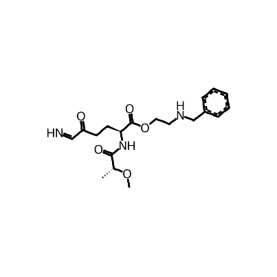 CO[C@H](C)C(=O)N[C@@H](CCC(=O)C=N)C(=O)OCCNCc1ccccc1